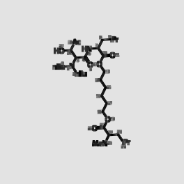 CCCCN(CCCC)C(C(=O)NC(CC(C)C)C(=O)OCCCCCCOC(=O)C(CC(C)C)NC)C(O)C(C)=O